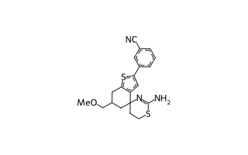 COCC1Cc2sc(-c3cccc(C#N)c3)cc2C2(CCSC(N)=N2)C1